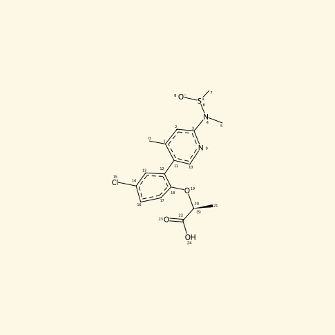 Cc1cc(N(C)[S+](C)[O-])ncc1-c1cc(Cl)ccc1O[C@@H](C)C(=O)O